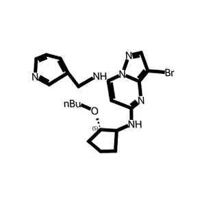 CCCCO[C@H]1CCCC1Nc1cc(NCc2cccnc2)n2ncc(Br)c2n1